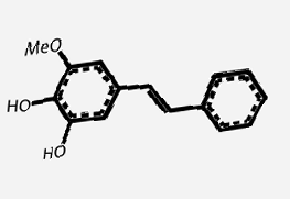 COc1cc(C=Cc2ccccc2)cc(O)c1O